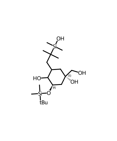 CC(C)(CC1C[C@@](O)(CO)C[C@@H](O[Si](C)(C)C(C)(C)C)C1O)[Si](C)(C)O